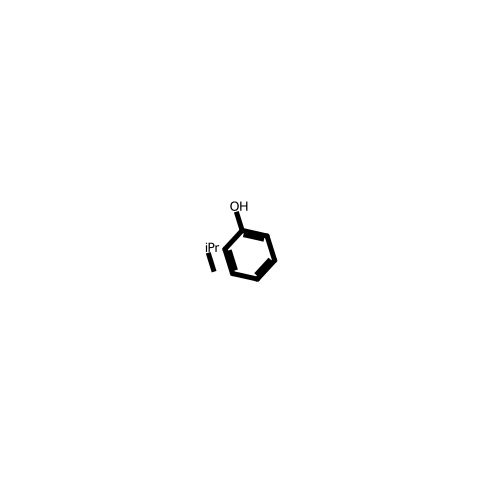 CC(C)C.Oc1ccccc1